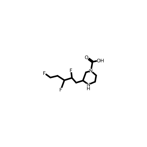 O=C(O)N1CCNC(CC(F)C(F)CCF)C1